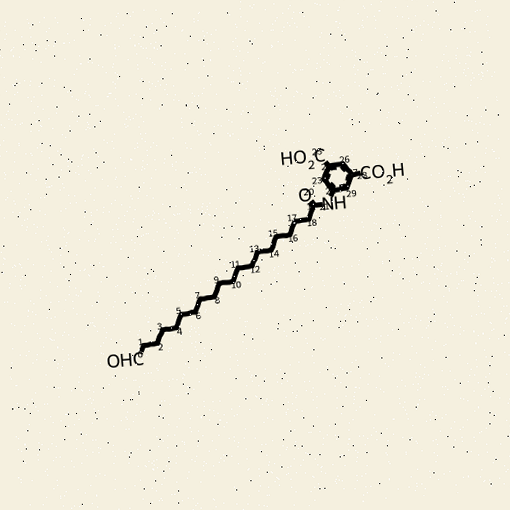 O=CCCCCCCCCCCCCCCCCCCC(=O)Nc1cc(C(=O)O)cc(C(=O)O)c1